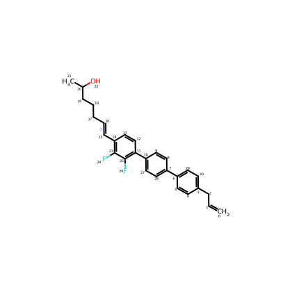 C=CCc1ccc(-c2ccc(-c3ccc(/C=C/CCCC(C)O)c(F)c3F)cc2)cc1